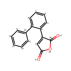 O=C1C=C(c2ccccc2-c2ccccc2)C(=O)O1